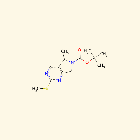 CSc1ncc2c(n1)CN(C(=O)OC(C)(C)C)C2C